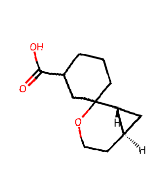 O=C(O)C1CCCC2(C1)OCC[C@@H]1C[C@H]12